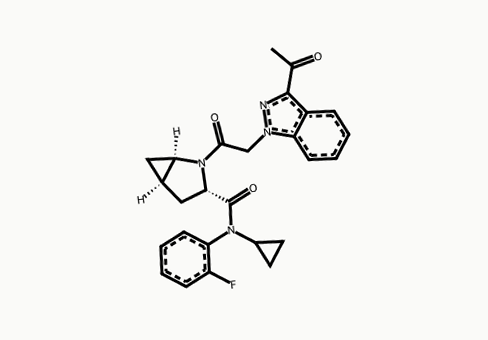 CC(=O)c1nn(CC(=O)N2[C@@H]3C[C@@H]3C[C@H]2C(=O)N(c2ccccc2F)C2CC2)c2ccccc12